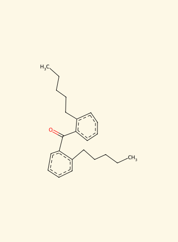 CCCCCc1ccccc1C(=O)c1ccccc1CCCCC